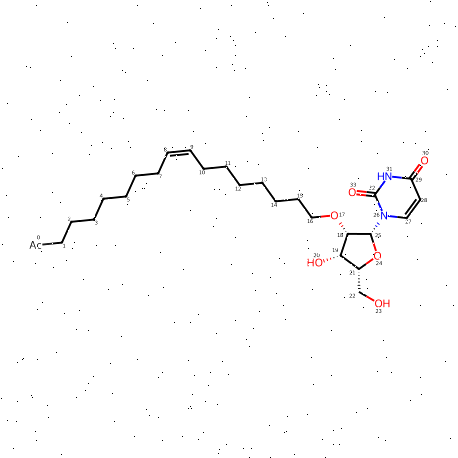 CC(=O)CCCCCCC/C=C\CCCCCCCO[C@H]1[C@@H](O)[C@@H](CO)O[C@H]1n1ccc(=O)[nH]c1=O